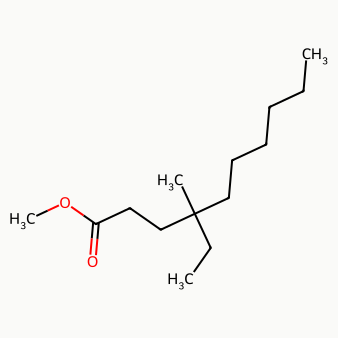 CCCCCCC(C)(CC)CCC(=O)OC